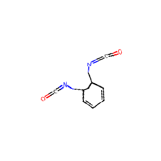 O=C=NC1C=CC=CC1N=C=O